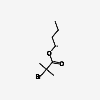 CCC[CH]OC(=O)C(C)(C)Br